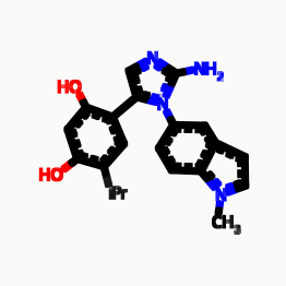 CC(C)c1cc(-c2cnc(N)n2-c2ccc3c(ccn3C)c2)c(O)cc1O